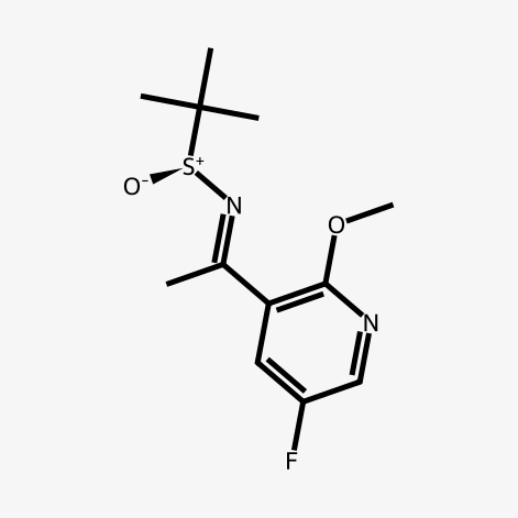 COc1ncc(F)cc1/C(C)=N/[S@@+]([O-])C(C)(C)C